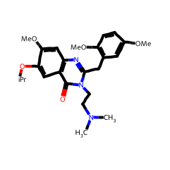 COc1ccc(OC)c(Cc2nc3cc(OC)c(OC(C)C)cc3c(=O)n2CCN(C)C)c1